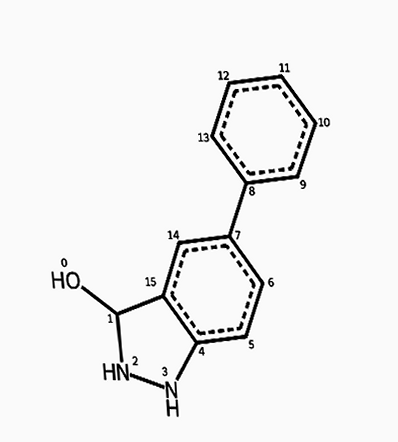 OC1NNc2ccc(-c3ccccc3)cc21